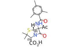 CC(=O)C1(NC(=O)c2c(C)cc(C)cc2C)C(=O)N2[C@@H](C(=O)O)C(C)(C)S[C@@H]21